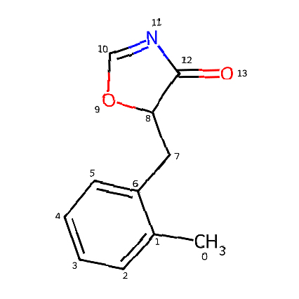 Cc1ccccc1CC1OC=NC1=O